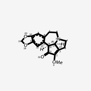 COC1=C2CCN3CCc4cc5c(cc4[C@H](C1=O)[C@H]23)OCO5